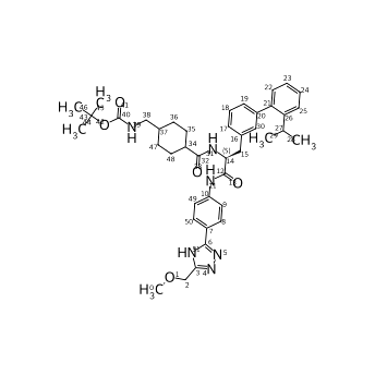 COCc1nnc(-c2ccc(NC(=O)[C@H](Cc3cccc(-c4ccccc4C(C)C)c3)NC(=O)C3CCC(CNC(=O)OC(C)(C)C)CC3)cc2)[nH]1